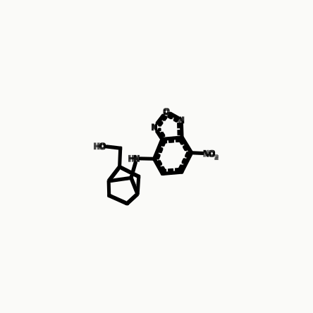 O=[N+]([O-])c1ccc(NC2C3CCC2C(CO)C3)c2nonc12